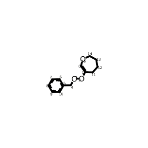 C1=C(OOCc2ccccc2)CCCCO1